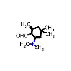 C=C1CC(C)(C)C=C(N(C)C)C1C=O